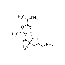 CC(OC(=O)C(C)C)OC(=O)C(N)(CCCN)C(F)F